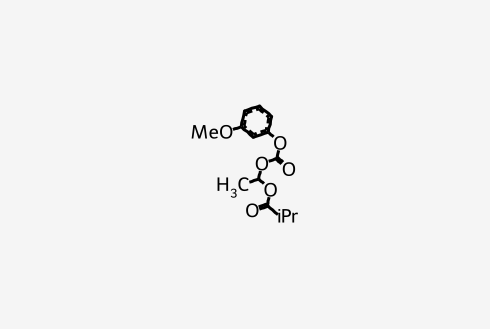 COc1cccc(OC(=O)OC(C)OC(=O)C(C)C)c1